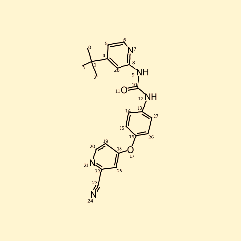 CC(C)(C)c1ccnc(NC(=O)Nc2ccc(Oc3ccnc(C#N)c3)cc2)c1